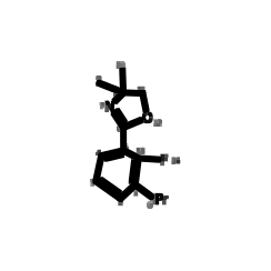 CC(C)c1cccc(C2=NC(C)(C)CO2)c1F